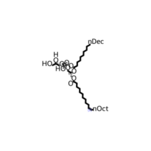 CCCCCCCC/C=C\CCCCCCCCCC(=O)OC[C@H](COP(=O)(O)OC[C@@H](O)CO)OC(=O)CCCCCCCCCCCCCCCCCCC